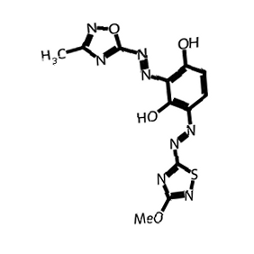 COc1nsc(/N=N/c2ccc(O)c(/N=N/c3nc(C)no3)c2O)n1